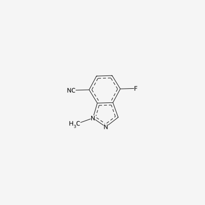 Cn1ncc2c(F)ccc(C#N)c21